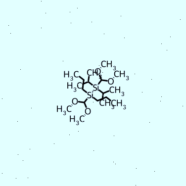 CCC[Si](CCC)(C(OC)OC)[Si](C(C)C)(C(C)C)C(OC)OC